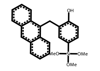 CO[Si](OC)(OC)c1ccc(O)c(Cc2c3ccccc3cc3ccccc23)c1